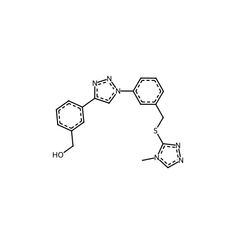 Cn1cnnc1SCc1cccc(-n2cc(-c3cccc(CO)c3)nn2)c1